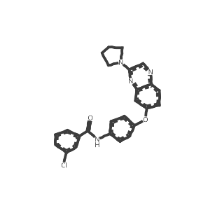 O=C(Nc1ccc(Oc2ccc3ncc(N4CCCC4)nc3c2)cc1)c1cccc(Cl)c1